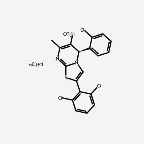 CC1=C(C(=O)O)[C@@H](c2ccccc2Cl)N2C=C(c3c(Cl)cccc3Cl)SC2=N1.Cl.Cl